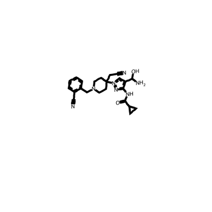 N#CCC1(n2cc(C(N)O)c(NC(=O)C3CC3)n2)CCN(Cc2ccccc2C#N)CC1